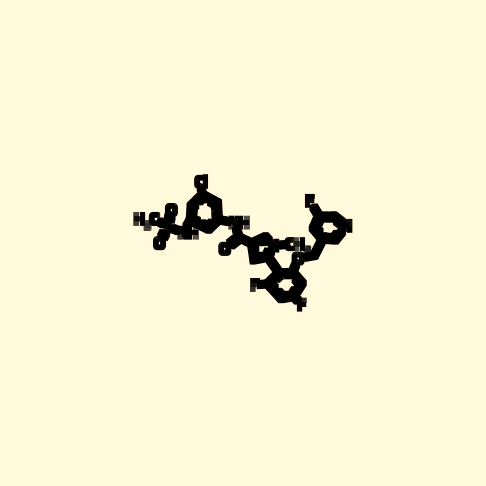 Cn1cc(C(=O)Nc2cc(Cl)cc(NS(C)(=O)=O)c2)cc1-c1c(F)cc(F)cc1OCc1cncc(F)c1